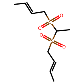 CC=CCS(=O)(=O)C(C)S(=O)(=O)CC=CC